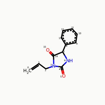 C=CCN1C(=O)NC(c2ccccc2)C1=O